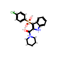 O=C(c1[nH]c2ccccc2c1S(=O)(=O)c1ccc(Cl)cc1)N1CCCCC1